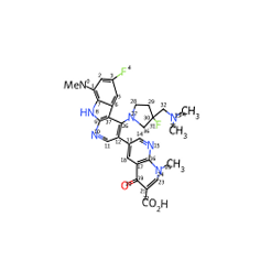 CNc1cc(F)cc2c1[nH]c1ncc(-c3cnc4c(c3)c(=O)c(C(=O)O)cn4C)c(N3CCC(F)(CN(C)C)C3)c12